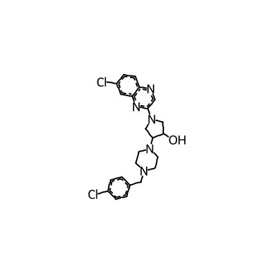 OC1CN(c2cnc3ccc(Cl)cc3n2)CC1N1CCN(Cc2ccc(Cl)cc2)CC1